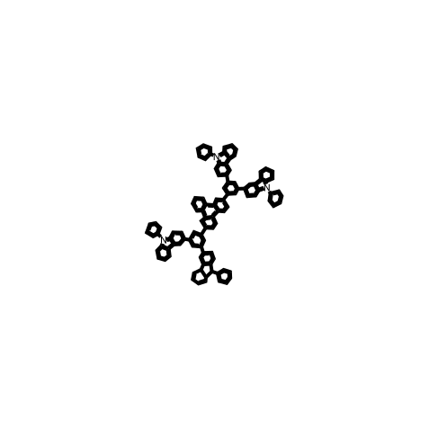 C1=CC2c3cc(-c4cc(-c5ccc6c7ccc(-c8cc(-c9ccc%10c(c9)c9ccccc9n%10-c9ccccc9)cc(-c9ccc%10c(c9)c9ccccc9n%10-c9ccccc9)c8)cc7c7ccccc7c6c5)cc(-c5ccc6c(c5)c5ccccc5n6-c5ccccc5)c4)ccc3C(c3ccccc3)C2C=C1